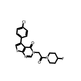 O=C(Cn1cnc2scc(-c3ccc(Cl)cc3)c2c1=O)N1CCC(F)CC1